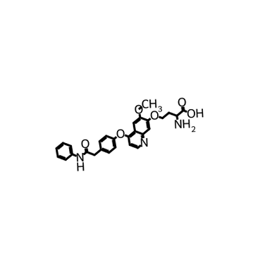 COc1cc2c(Oc3ccc(CC(=O)Nc4ccccc4)cc3)ccnc2cc1OCCC(N)C(=O)O